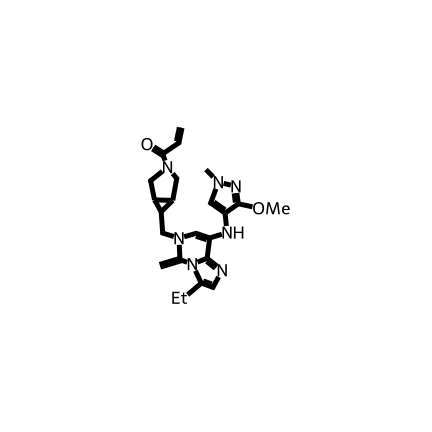 C=CC(=O)N1CC2C(CN3C=C(Nc4cn(C)nc4OC)c4ncc(CC)n4C3=C)C2C1